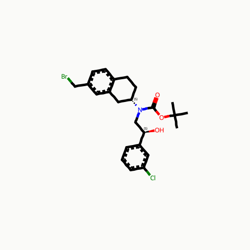 CC(C)(C)OC(=O)N(C[C@@H](O)c1cccc(Cl)c1)[C@H]1CCc2ccc(CBr)cc2C1